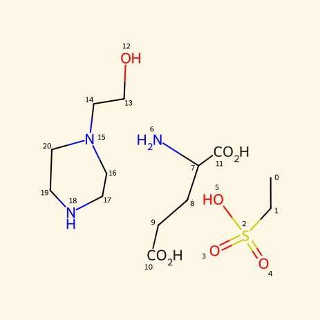 CCS(=O)(=O)O.NC(CCC(=O)O)C(=O)O.OCCN1CCNCC1